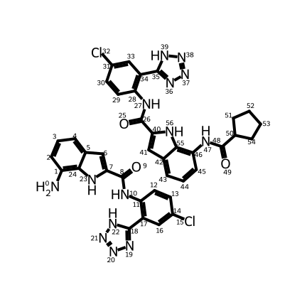 Nc1cccc2cc(C(=O)Nc3ccc(Cl)cc3-c3nnn[nH]3)[nH]c12.O=C(Nc1ccc(Cl)cc1-c1nnn[nH]1)c1cc2cccc(NC(=O)C3CCCC3)c2[nH]1